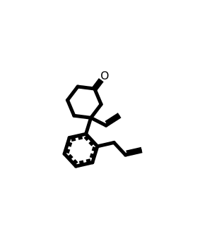 C=CCc1ccccc1C1(C=C)CCCC(=O)C1